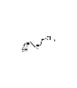 CC/C=C\C=C/S